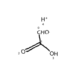 O=[C]C(=O)O.[H+]